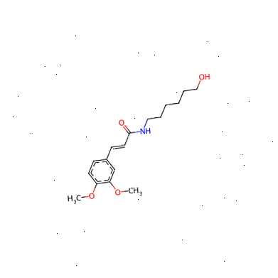 COc1ccc(/C=C/C(=O)NCCCCCCO)cc1OC